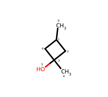 CC1CC(C)(O)C1